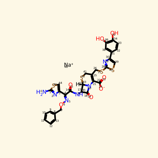 Nc1nc(C(=NOCc2ccccc2)C(=O)N[C@@H]2C(=O)N3C(C(=O)[O-])=C(CSc4nc(-c5ccc(O)c(O)c5)cs4)CS[C@@H]23)cs1.[Na+]